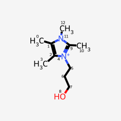 Cc1c(C)[n+](CCCO)c(C)n1C